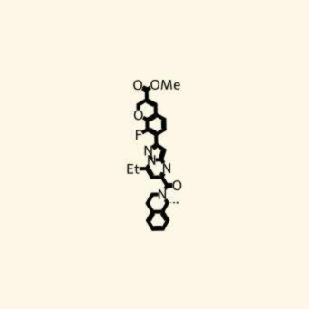 CCc1cc(C(=O)N2CCc3ccccc3[C@H]2C)nc2cc(-c3ccc4c(c3F)OCC(C(=O)OC)=C4)nn12